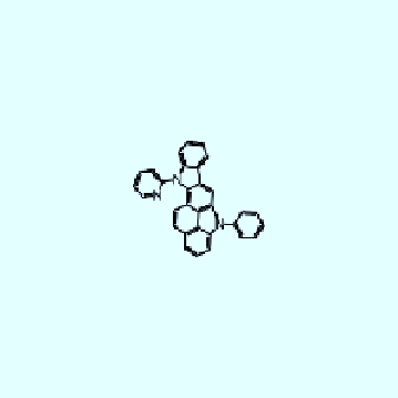 c1ccc(-n2c3cccc4ccc5c(c43)c2cc2c3ccccc3n(-c3ccccn3)c25)cc1